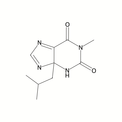 CC(C)CC12N=CN=C1C(=O)N(C)C(=O)N2